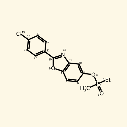 CCP(C)(=O)Oc1ccc2oc(-c3ccc(Cl)cc3)nc2c1